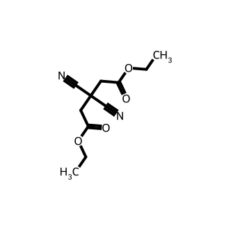 CCOC(=O)CC(C#N)(C#N)CC(=O)OCC